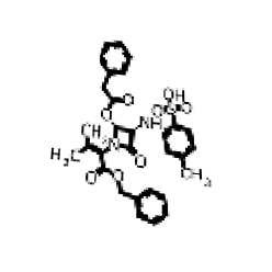 CC(C)=C(C(=O)OCc1ccccc1)N1C(=O)[C@@H](N)[C@H]1OC(=O)Cc1ccccc1.Cc1ccc(S(=O)(=O)O)cc1